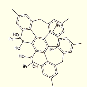 Cc1cc2c(c(CC(C)C)c1)-c1c3c(c(P(O)O)c(P(O)O)c1-c1c(cc(C)cc1CC(C)C)C2)-c1c(cc(C)cc1CC(C)C)Cc1cc(C)cc(CC(C)C)c1-3